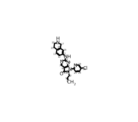 C=CCn1c(=O)c2cnc(Nc3ccc4c(c3)CNCC4)nc2n1-c1ccc(Cl)cn1